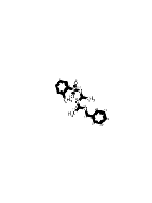 Cc1ccccc1S(=O)(=O)OC(C)OC(C)OCc1ccccc1